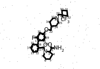 NC(=O)C1CCCCN1C(=O)c1ccccc1-c1ccc(OCC2CCN(CC3(C(F)(F)F)CCC3)CC2)cc1F